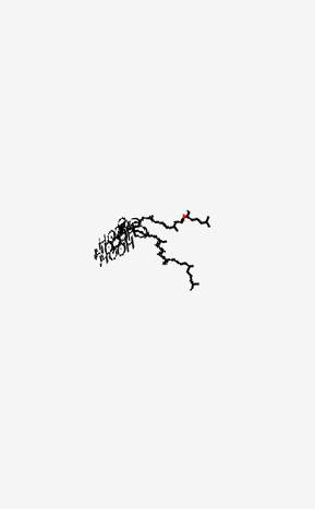 CC(C)CCCC(C)CCCC(C)CCCC(C)CCOCC(COP(=O)(O)OC1[C@H](O)[C@H](O)C(O)[C@H](O)[C@H]1O)OCCC(C)CCCC(C)CCCC(C)CCCC(C)C